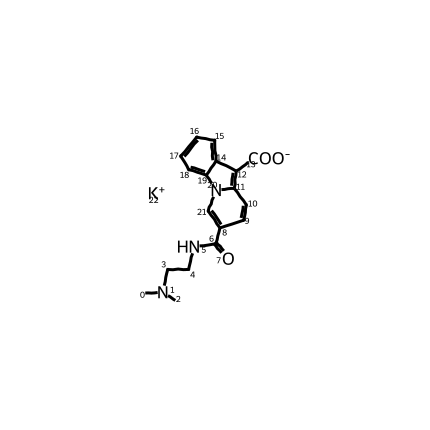 CN(C)CCNC(=O)c1ccc2c(C(=O)[O-])c3ccccc3n2c1.[K+]